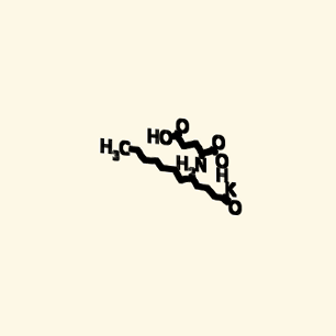 CCCCCCCCCCC[C](=O)[K].NC(CCC(=O)O)C(=O)O